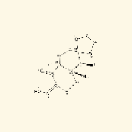 C[C@H]1[C@@H]2CC/C(=N/O)C(=O)[C@@]2(C)CCC12OCCO2